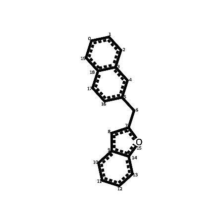 c1ccc2cc(Cc3cc4ccccc4o3)ccc2c1